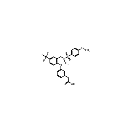 COc1ccc(S(=O)(=O)N(C)Cc2cc(C(F)(F)F)ccc2Oc2cccc(CC(=O)O)c2)cc1